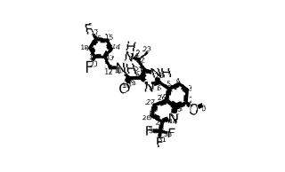 COc1ccc(-c2nc(C(=O)NCc3ccc(F)cc3F)c([C@H](C)N)[nH]2)c2ccc(C(F)(F)F)nc12